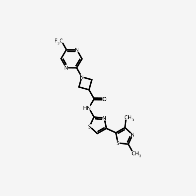 Cc1nc(C)c(-c2csc(NC(=O)C3CN(c4cnc(C(F)(F)F)cn4)C3)n2)s1